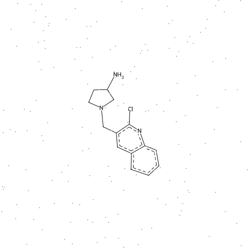 NC1CCN(Cc2cc3ccccc3nc2Cl)C1